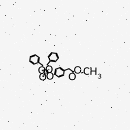 CCOC(=O)Cc1ccc(OP(=O)(OCc2ccccc2)OCc2ccccc2)cc1